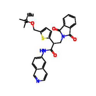 CC(C)(C)[Si](C)(C)OCc1ccc(C(CN2C(=O)c3ccccc3C2=O)C(=O)Nc2ccc3cnccc3c2)s1